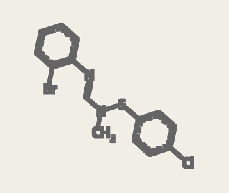 CN(C=Nc1ccccc1Br)Sc1ccc(Cl)cc1